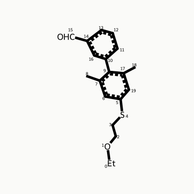 CCOCCSc1cc(C)c(-c2cccc(C=O)c2)c(C)c1